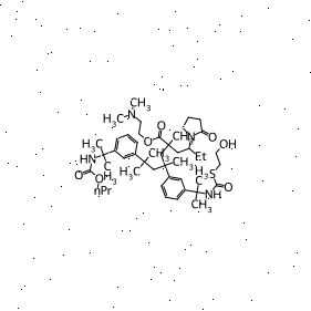 CCCOC(=O)NC(C)(C)c1cccc(C(C)(C)CC(C)(CC(C)(CC(CC)N2CCCC2=O)C(=O)OCCN(C)C)c2cccc(C(C)(C)NC(=O)SCCO)c2)c1